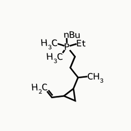 C=CC1CC1C(C)CCP(C)(C)(CC)CCCC